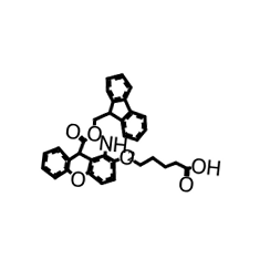 Nc1c(OCCCCC(=O)O)ccc2c1C(C(=O)OCC1c3ccccc3-c3ccccc31)c1ccccc1O2